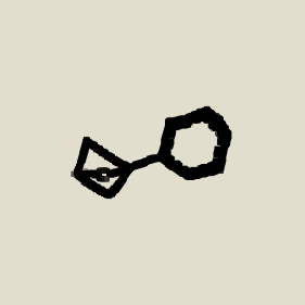 c1ccc(C23C[C](C2)C3)cc1